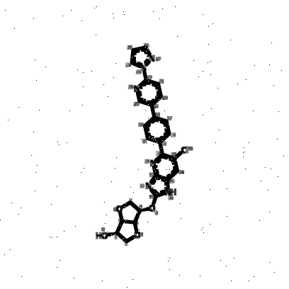 O[C@@H]1COC2C1OC[C@H]2Oc1nc2nc(-c3ccc(-c4ccc(-n5cccn5)nc4)cc3)c(Cl)cc2[nH]1